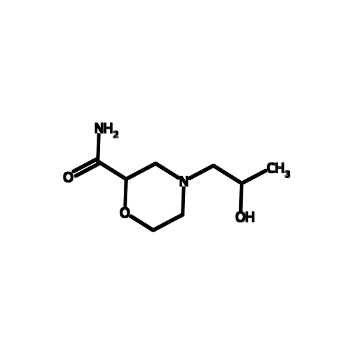 CC(O)CN1CCOC(C(N)=O)C1